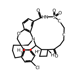 CCC1[C@@H]2CC[C@H]2C(=O)CCCCCS(=O)(=O)NC(=O)c2ccc3c(c2)N1C[C@@]1(CCCc2cc(Cl)ccc21)CO3